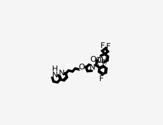 O=C(O)[C@H](c1cc(F)ccc1[C@H]1CCC2(CO1)CC(F)(F)C2)N1CC[C@@H](OCCCCc2ccc3c(n2)NCCC3)C1